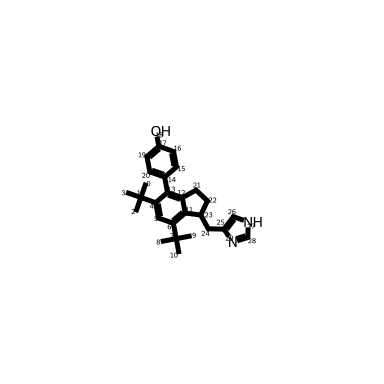 CC(C)(C)c1cc(C(C)(C)C)c2c(c1-c1ccc(O)cc1)CCC2Cc1c[nH]cn1